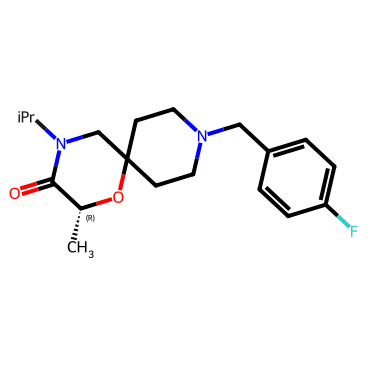 CC(C)N1CC2(CCN(Cc3ccc(F)cc3)CC2)O[C@H](C)C1=O